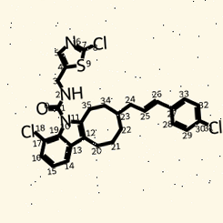 O=C(NCc1cnc(Cl)s1)n1c2c(c3cccc(Cl)c31)CCCC(C/C=C/c1ccc(Cl)cc1)CC2